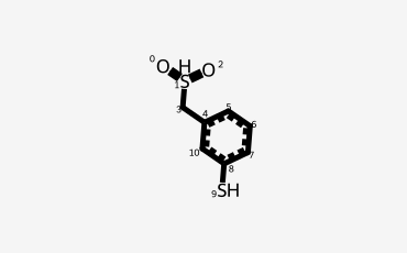 O=[SH](=O)Cc1cccc(S)c1